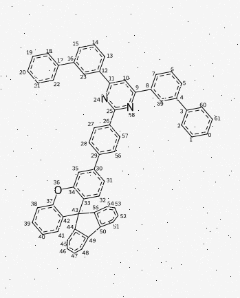 c1ccc(-c2cccc(-c3cc(-c4cccc(-c5ccccc5)c4)nc(-c4ccc(-c5ccc6c(c5)Oc5ccccc5C65c6ccccc6-c6ccccc65)cc4)n3)c2)cc1